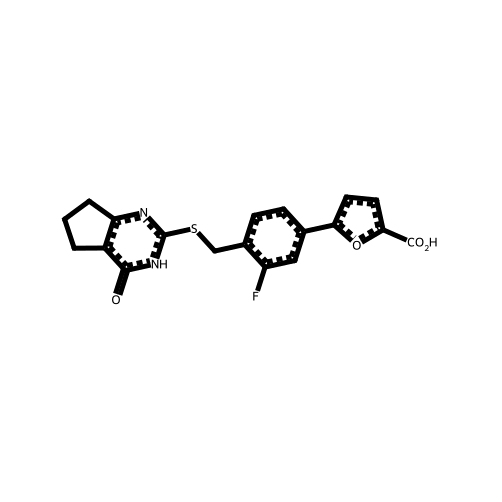 O=C(O)c1ccc(-c2ccc(CSc3nc4c(c(=O)[nH]3)CCC4)c(F)c2)o1